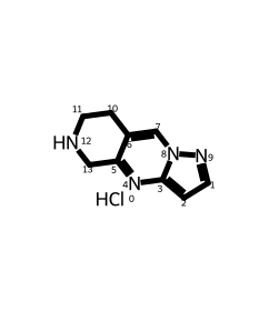 Cl.c1cc2nc3c(cn2n1)CCNC3